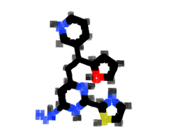 Nc1cc(CC(c2cccnc2)c2ccco2)nc(-c2nccs2)n1